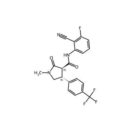 CN1C[C@@H](c2ccc(C(F)(F)F)cc2)[C@H](C(=O)Nc2cccc(F)c2C#N)C1=O